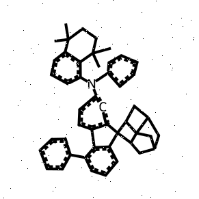 CC1(C)CCC(C)(C)c2c(N(c3ccccc3)c3ccc4c(c3)C3(c5cccc(-c6ccccc6)c5-4)C4CC5CC6CC3C64C5)cccc21